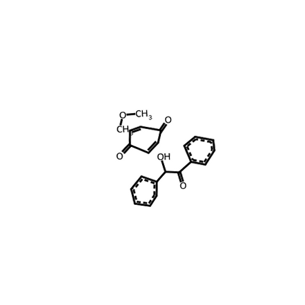 COC.O=C(c1ccccc1)C(O)c1ccccc1.O=C1C=CC(=O)C=C1